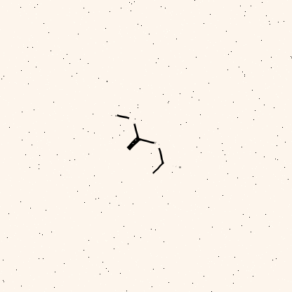 CC[C@H](O)NC(=O)OC(C)(C)C